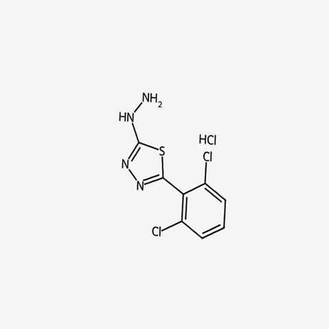 Cl.NNc1nnc(-c2c(Cl)cccc2Cl)s1